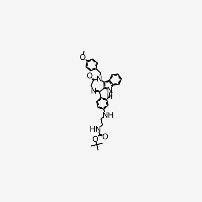 COc1ccc(CN2C(=O)CN=C(c3ccc(NCCNC(=O)OC(C)(C)C)cc3F)c3[nH]c4ccccc4c32)cc1